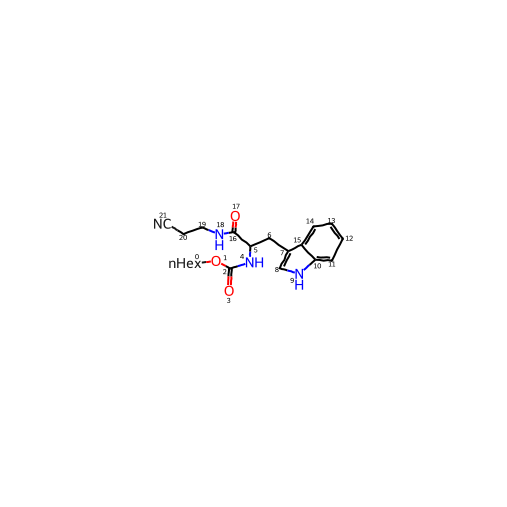 CCCCCCOC(=O)NC(Cc1c[nH]c2ccccc12)C(=O)NCCC#N